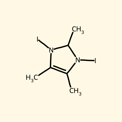 CC1=C(C)N(I)C(C)N1I